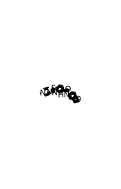 CN1CCN(c2nc3cc(C(=O)Nc4ccc5c(c4)CCO5)ccc3s2)CC1